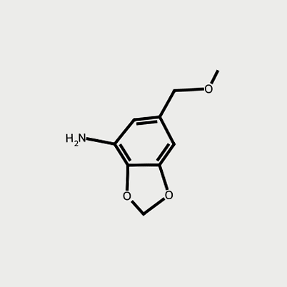 COCc1cc(N)c2c(c1)OCO2